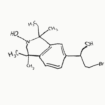 CC1(C)c2ccc(C(O)CBr)cc2C(C)(C)N1O